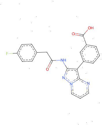 O=C(Cc1ccc(F)cc1)Nc1nn2cccnc2c1-c1cccc(C(=O)O)c1